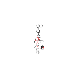 c1ccc(-c2ccccc2-c2c(-c3ccccc3)cccc2N(c2ccc(-c3ccc(-c4cccc5ccccc45)cc3)cc2)c2cccc(-c3ccc4c5ccccc5n(-c5ccccc5)c4c3)c2)cc1